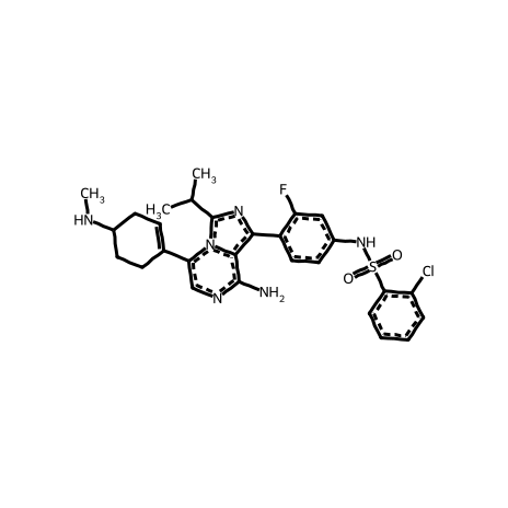 CNC1CC=C(c2cnc(N)c3c(-c4ccc(NS(=O)(=O)c5ccccc5Cl)cc4F)nc(C(C)C)n23)CC1